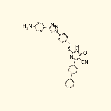 N#Cc1c(-c2ccc(-c3ccccc3)cc2)nc(SCc2ccc(-n3cc(-c4ccc(N)cc4)nn3)cc2)[nH]c1=O